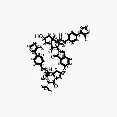 CC(=O)N(C)[C@H](C(=O)N1C[C@H](Oc2ccc3c(c2)C(=O)N([C@H](C(=O)N2C[C@H](O)CC2(C)C(=O)NCc2ccc(-c4scnc4C)cc2)C(C)C)C3)C[C@H]1C(=O)NCc1ccc(-c2scnc2C)cc1)C(C)C